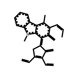 C=CC1=C(C=C)C(=C)/C(=c2\c(=C)c(/C=C\C)c(C)c3c4ccccc4n(C)c23)C1